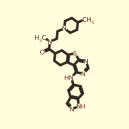 CC1CCN(CCN(C)C(=O)C2CCc3c(sc4ncnc(Nc5ccc6[nH]ncc6c5)c34)C2)CC1